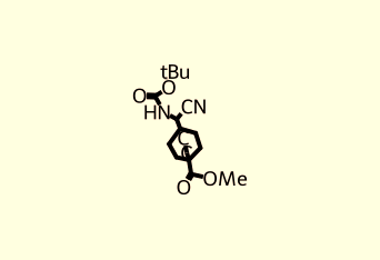 COC(=O)C12CCC(C(C#N)NC(=O)OC(C)(C)C)(CC1)CC2